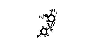 Nc1ccc(OS(=O)(=O)c2ccc(F)cc2)cc1N